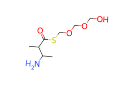 CC(N)C(C)C(=O)SCOCOCO